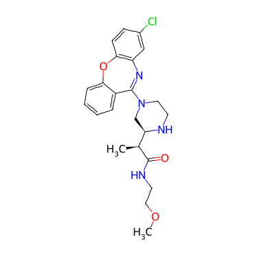 COCCNC(=O)[C@@H](C)[C@H]1CN(C2=Nc3cc(Cl)ccc3Oc3ccccc32)CCN1